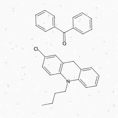 CCCCN1c2ccccc2Cc2cc(Cl)ccc21.O=C(c1ccccc1)c1ccccc1